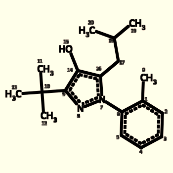 Cc1ccccc1-n1nc(C(C)(C)C)c(O)c1CC(C)C